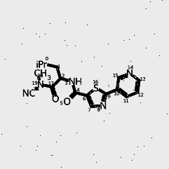 CC(C)CC(NC(=O)c1cnc(-c2cccnc2)s1)C(=O)N(C)C#N